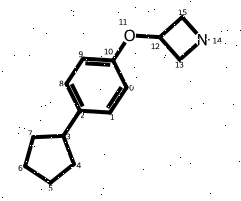 c1cc(C2CCCC2)ccc1OC1C[N]C1